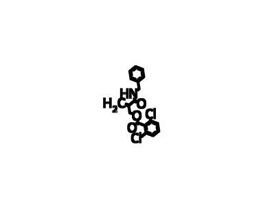 C=C(COC(=O)c1c(Cl)cccc1Cl)C(=O)NCc1ccccc1